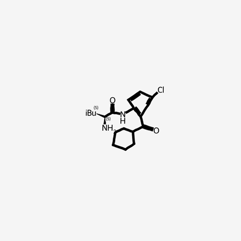 CC[C@H](C)[C@H](N)C(=O)Nc1ccc(Cl)cc1C(=O)C1CCCCC1